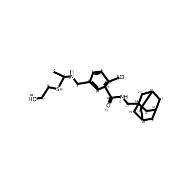 CC(NCc1ccc(Cl)c(C(=O)NCC23CC4CC(CC(C4)C2)C3)c1)SCCO